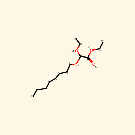 CCCCCCCCOC(OCC)C(=O)OCC